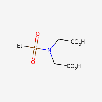 CCS(=O)(=O)N(CC(=O)O)CC(=O)O